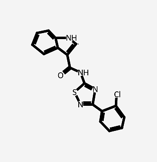 O=C(Nc1nc(-c2ccccc2Cl)ns1)c1[c][nH]c2ccccc12